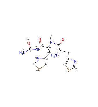 CN(C(=O)[C@@H](N)Cc1cscn1)[C@@H](Cc1cscn1)C(=O)NC(N)=O